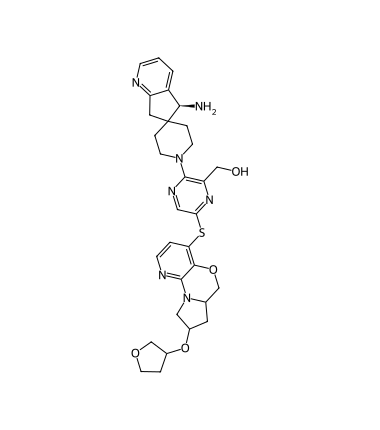 N[C@@H]1c2cccnc2CC12CCN(c1ncc(Sc3ccnc4c3OCC3CC(OC5CCOC5)CN43)nc1CO)CC2